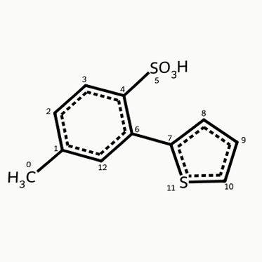 Cc1ccc(S(=O)(=O)O)c(-c2cccs2)c1